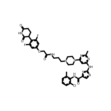 Cc1nc(Nc2ncc(C(=O)Nc3c(C)cccc3Cl)s2)cc(N2CCN(CCCNC(=O)COc3cc(F)c(C4CCC(=O)NC4=O)c(F)c3)CC2)n1